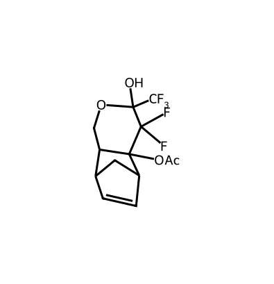 CC(=O)OC12C3C=CC(C3)C1COC(O)(C(F)(F)F)C2(F)F